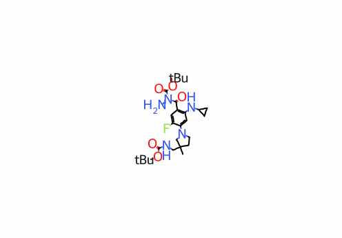 CC1(CNC(=O)OC(C)(C)C)CCN(c2cc(NC3CC3)c(C(=O)N(N)C(=O)OC(C)(C)C)cc2F)C1